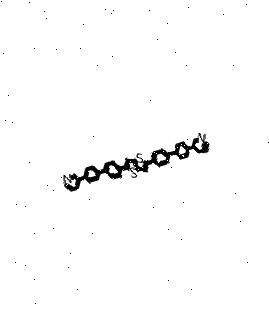 c1cncc(-c2ccc(-c3ccc(-c4cc5sc(-c6ccc(-c7ccc(-c8cccnc8)cc7)cc6)cc5s4)cc3)cc2)c1